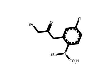 CC(C)CC(=O)Cc1cc(Cl)ccc1N(C(=O)O)C(C)(C)C